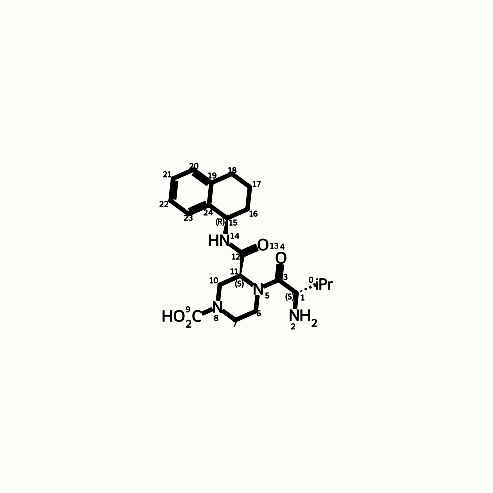 CC(C)[C@H](N)C(=O)N1CCN(C(=O)O)C[C@H]1C(=O)N[C@@H]1CCCc2ccccc21